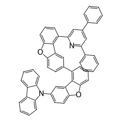 c1ccc(-c2cc(-c3ccccc3)nc(-c3cccc4oc5ccc(-c6cccc7oc8ccc(-n9c%10ccccc%10c%10ccccc%109)cc8c67)cc5c34)c2)cc1